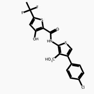 CC(F)(F)c1cc(O)c(C(=O)Nc2scc(-c3ccc(Cl)cc3)c2C(=O)O)s1